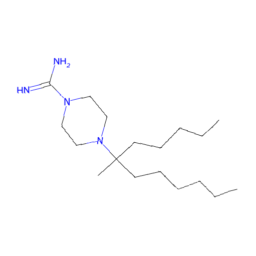 CCCCCCC(C)(CCCCC)N1CCN(C(=N)N)CC1